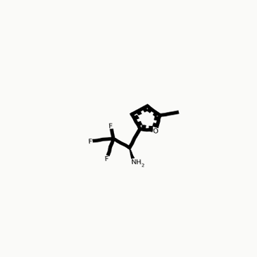 Cc1ccc([C@@H](N)C(F)(F)F)o1